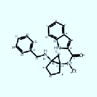 CCN(C(=O)c1cc2ccccc2[nH]1)[C@@]12CCC[C@]1(NCc1ccccc1)C2